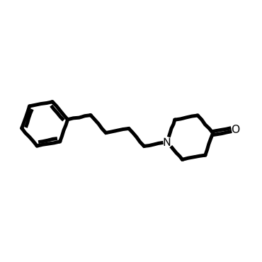 O=C1CCN(CCCCc2ccccc2)CC1